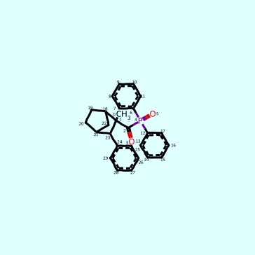 CC1(C(=O)P(=O)(c2ccccc2)c2ccccc2)C2CCC(C2)C1c1ccccc1